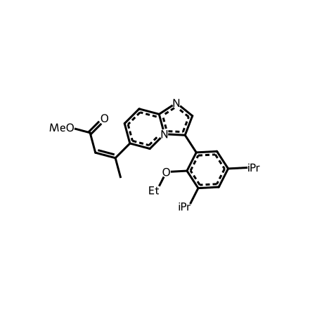 CCOc1c(-c2cnc3ccc(/C(C)=C\C(=O)OC)cn23)cc(C(C)C)cc1C(C)C